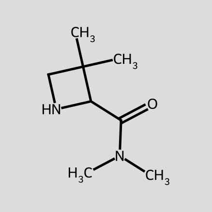 CN(C)C(=O)C1NCC1(C)C